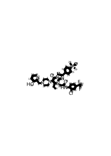 CCc1c(N2CCN(Cc3ncccc3O)CC2)c(=O)n2nc(-c3ccc(P(C)(C)=O)cc3)nc2n1CC(=O)Nc1ccc(C(F)(F)F)cc1Cl